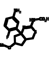 CCOC1CC2CSC(NC(=O)O)=NC2(c2cc(N)ccc2F)C1